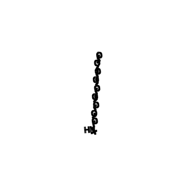 COCCOCCOCCOCCOCCOCCOCCOCCOCCNC(C)(C)C